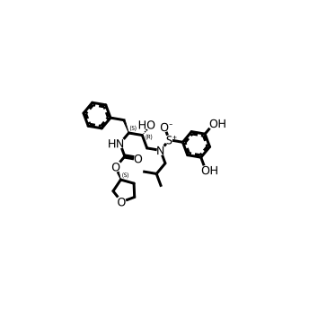 CC(C)CN(C[C@@H](O)[C@H](Cc1ccccc1)NC(=O)O[C@H]1CCOC1)[S+]([O-])c1cc(O)cc(O)c1